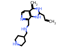 C=CCC1NC(=C)c2ccnc(CNCC3CCNCC3)c2N1